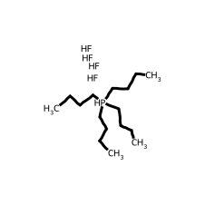 CCCC[PH](CCCC)(CCCC)CCCC.F.F.F.F